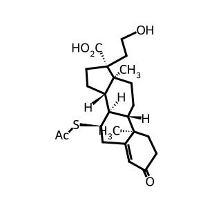 CC(=O)S[C@@H]1CC2=CC(=O)CC[C@]2(C)[C@H]2CC[C@@]3(C)[C@@H](CC[C@]3(CCO)C(=O)O)[C@H]12